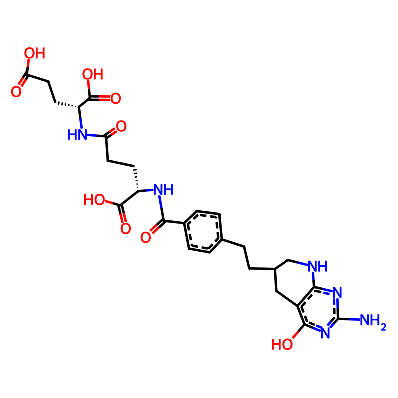 Nc1nc(O)c2c(n1)NCC(CCc1ccc(C(=O)N[C@@H](CCC(=O)N[C@H](CCC(=O)O)C(=O)O)C(=O)O)cc1)C2